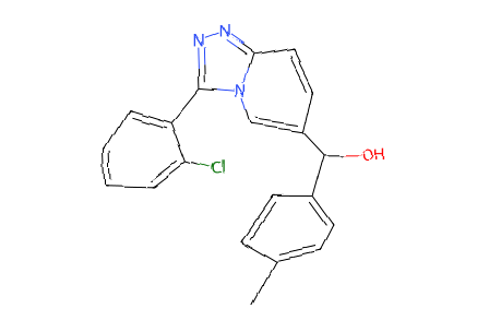 Cc1ccc(C(O)c2ccc3nnc(-c4ccccc4Cl)n3c2)cc1